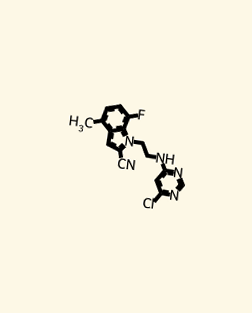 Cc1ccc(F)c2c1cc(C#N)n2CCNc1cc(Cl)ncn1